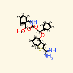 N=C(N)c1cc2c(OC(COC(=O)Nc3ccccc3CO)c3ccccc3)cccc2s1